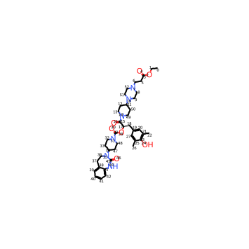 CCOC(=O)CCN1CCN(C2CCN(C(=O)[C@@H](Cc3cc(C)c(O)c(C)c3)OC(=O)N3CCC(N4CCc5ccccc5NC4=O)CC3)CC2)CC1